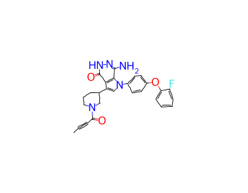 CC#CC(=O)N1CCCC(c2cn(-c3ccc(Oc4ccccc4F)cc3)c3c(N)n[nH]c(=O)c23)C1